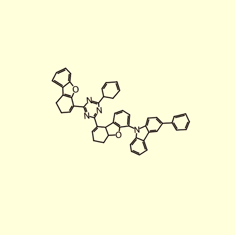 C1=CCC(c2nc(C3=CCCc4c3oc3ccccc43)nc(C3=CCCC4Oc5c(cccc5-n5c6ccccc6c6cc(-c7ccccc7)ccc65)C34)n2)C=C1